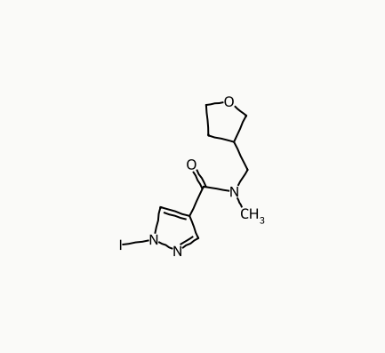 CN(CC1CCOC1)C(=O)c1cnn(I)c1